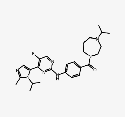 Cc1ncc(-c2nc(Nc3ccc(C(=O)N4CCCN(C(C)C)CC4)cc3)ncc2F)n1C(C)C